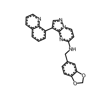 c1cnc2c(-c3cnn4ccc(NCc5ccc6c(c5)OCO6)nc34)cccc2c1